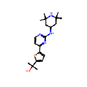 CC1(C)CC(Nc2nccc(-c3ccc(C(C)(C)O)s3)n2)CC(C)(C)N1